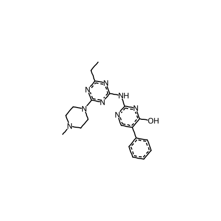 CCc1nc(Nc2ncc(-c3ccccc3)c(O)n2)nc(N2CCN(C)CC2)n1